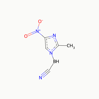 Cc1nc([N+](=O)[O-])cn1BC#N